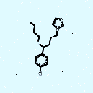 CCCCSC(CCCn1ccnc1)c1ccc(Cl)cc1